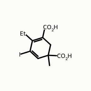 CCC1=C(C(=O)O)CC(C)(C(=O)O)C=C1I